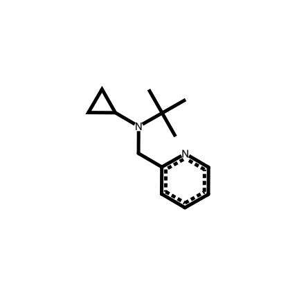 CC(C)(C)N(Cc1ccccn1)C1CC1